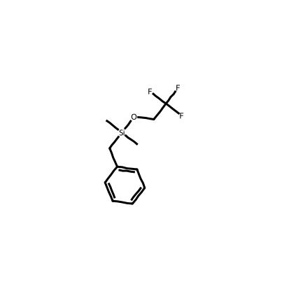 C[Si](C)(Cc1ccccc1)OCC(F)(F)F